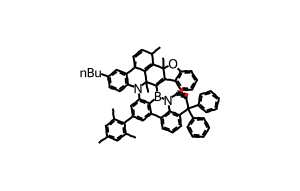 CCCCc1ccc2c(c1)C1(C)C=CC(C)C3=C1C1(C)C(=C4c5ccccc5OC43C)B3c4c(cc(-c5c(C)cc(C)cc5C)cc4N21)-c1cccc2c1N3c1ccccc1C2(c1ccccc1)c1ccccc1